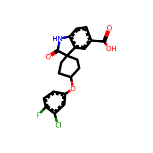 O=C(O)c1ccc2c(c1)C1(CCC(Oc3ccc(F)c(Cl)c3)CC1)C(=O)N2